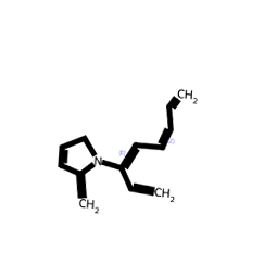 C=C/C=C\C=C(/C=C)N1CC=CC1=C